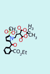 CCOC(=O)c1ccccc1C(=O)c1ccc(S(C)(=O)=O)n1CCC1C(=O)OC(C)(C)OC1=O